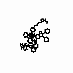 CCCCCc1ccc(Nc2ccccc2-c2cc(C(C)(C)C)c3c4c5ccccc5ccc4n4c3c2Bc2cc3oc(-c5ccccc5)c(-c5ccccc5)c3cc2-4)cc1